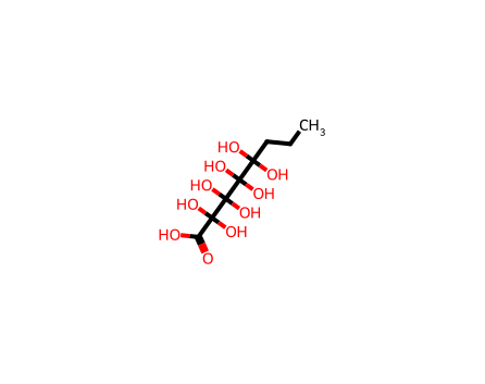 CCCC(O)(O)C(O)(O)C(O)(O)C(O)(O)C(=O)O